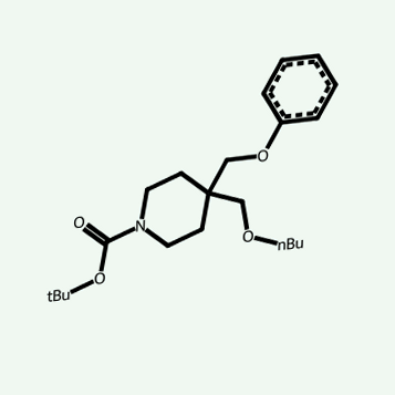 CCCCOCC1(COc2ccccc2)CCN(C(=O)OC(C)(C)C)CC1